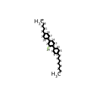 CCCCCCCCc1ccc(-c2ccc(-c3ccc(CCCCC)cc3)cc2F)cc1